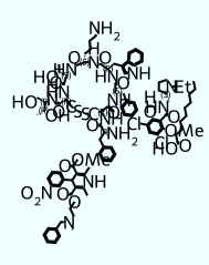 CC(O)[C@@H]1NC(=O)[C@H](CCCCN)NC(=O)[C@@H](Cc2c[nH]c3ccccc23)NC(=O)[C@H](Cc2ccccc2)NC(=O)[C@@H](NC(=O)[C@H](N)Cc2ccccc2)CSSC[C@@H](C(=O)N[C@H](CO)[C@@H](C)O)NC1=O.CCCCCCCCCC(=O)O.CCN1CCC[C@H]1CNC(=O)c1c(O)c(Cl)cc(Cl)c1OC.COC(=O)C1=C(C)NC(C)=C(C(=O)OCCN(C)Cc2ccccc2)C1c1cccc([N+](=O)[O-])c1